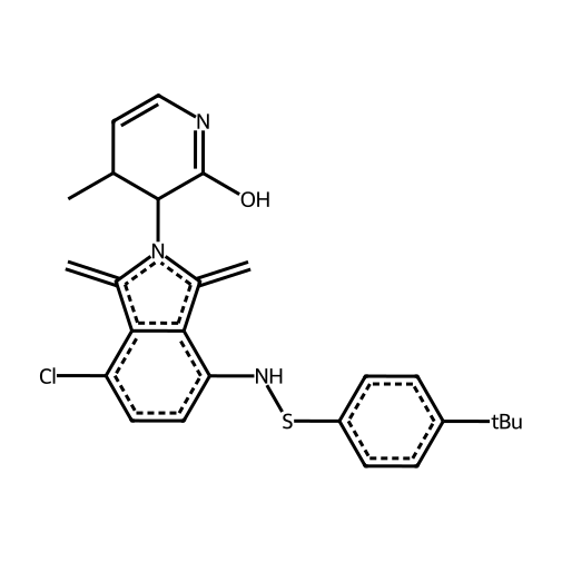 C=c1c2c(Cl)ccc(NSc3ccc(C(C)(C)C)cc3)c2c(=C)n1C1C(O)=NC=CC1C